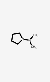 CN(C)N1[CH]CCC1